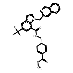 COC(=O)C1=CC[C@H](CNC(=O)c2cc(C(F)(F)F)cc3ccn(Cc4cc5ccccc5cn4)c23)C=C1